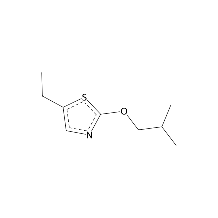 CCc1cnc(OCC(C)C)s1